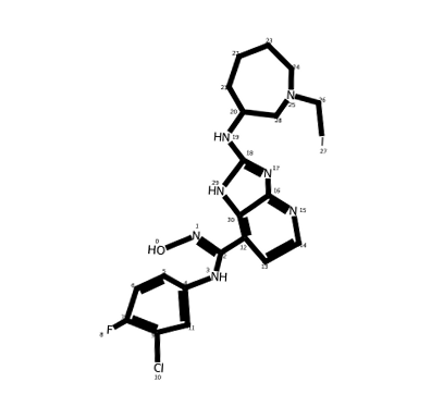 ON=C(Nc1ccc(F)c(Cl)c1)c1ccnc2nc(NC3CCCCN(CI)C3)[nH]c12